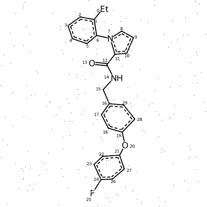 CCc1ccccc1-n1cccc1C(=O)NCc1ccc(Oc2ccc(F)cc2)cc1